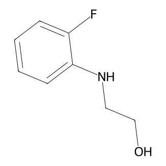 OCCNc1ccccc1F